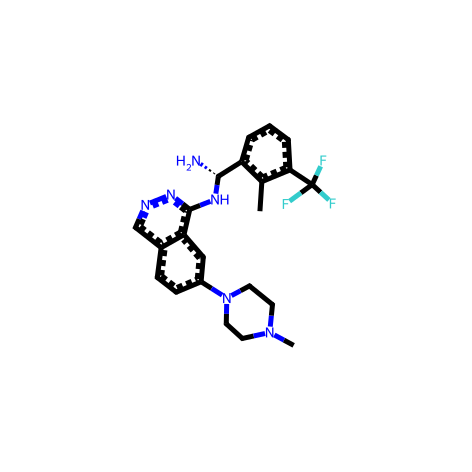 Cc1c([C@@H](N)Nc2nncc3ccc(N4CCN(C)CC4)cc23)cccc1C(F)(F)F